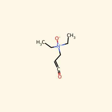 CC[N+]([O-])(CC)CC=C=O